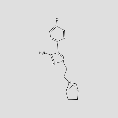 Nc1nn(CCN2CC3CCC2C3)cc1-c1ccc(Cl)cc1